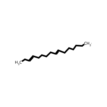 [CH2]CCCCCC=CCCCCC=CCC